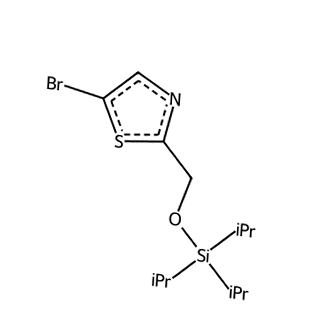 CC(C)[Si](OCc1ncc(Br)s1)(C(C)C)C(C)C